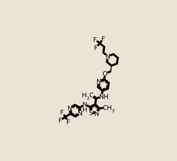 C=C(Nc1ccc(OC[C@@H]2CCCN(CCC(F)(F)F)C2)nc1)c1c(C)nsc1Nc1cnc(C(F)(F)F)cn1